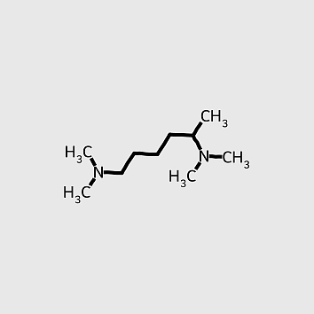 CC(CCCCN(C)C)N(C)C